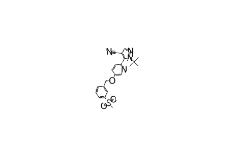 CC(C)(C)n1ncc(C#N)c1-c1ccc(OCc2cccc(S(C)(=O)=O)c2)cn1